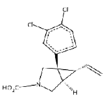 C=C[C@@H]1[C@H]2CN(C(=O)O)C[C@]12c1ccc(Cl)c(Cl)c1